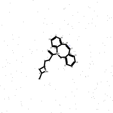 C=C(CCC1CC(C)S1)N1Cc2ccccc2/C=C\c2ccccc21